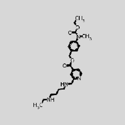 CCNCCCCNCc1cc(C(=O)OCc2ccc(N(C)C(=O)OCC)cc2)ccn1